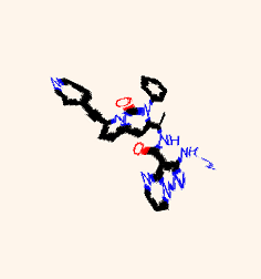 C[C@@H](NC(=O)c1c(N)nn2cccnc12)c1cc2ccc(C#Cc3ccncc3)n2c(=O)n1-c1ccccc1